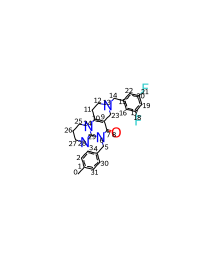 Cc1ccc(CN2C(=O)C3=C(CCN(Cc4cc(F)cc(F)c4)C3)N3CCCN=C23)cc1